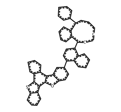 c1ccc(-c2ccccccc(-c3ccc(-c4ccc5oc6c(c5c4)c4ccccc4c4sc5ccccc5c64)c4ccccc34)c3ccccc23)cc1